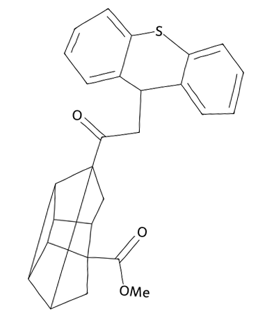 COC(=O)C12CC3C4C5C(C1CC35C(=O)CC1c3ccccc3Sc3ccccc31)C42